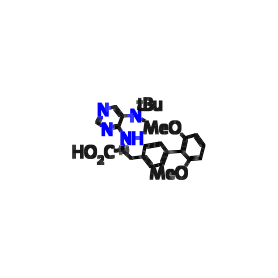 COc1cccc(OC)c1-c1ccc(C[C@H](Nc2ncncc2N(C)C(C)(C)C)C(=O)O)cc1